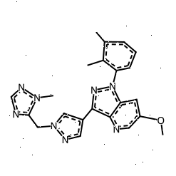 COc1cnc2c(-c3cnn(Cc4ncnn4C)c3)nn(-c3cccc(C)c3C)c2c1